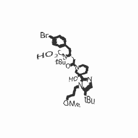 COCCCn1c(C(C)(C)C)cnc1C1(O)CCCN(C(=O)C[C@@H](Cc2ccc(Br)cc2)N(C(=O)O)C(C)(C)C)C1